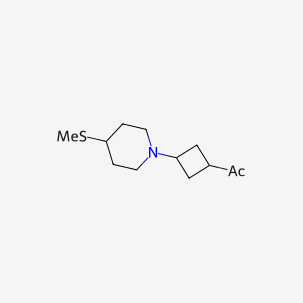 CSC1CCN(C2CC(C(C)=O)C2)CC1